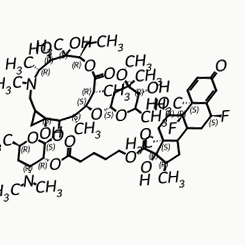 CC[C@H]1OC(=O)[C@H](C)[C@@H](O[C@@H]2C[C@](C)(OC)[C@H](O)C(C)O2)[C@H](C)C(O[C@@H]2O[C@H](C)C[C@@H](N(C)C)[C@H]2OC(=O)CCCCOC(=O)[C@@]2(O)[C@H](C)CC3C4C[C@H](F)C5=CC(=O)C=C[C@]5(C)[C@@]4(F)[C@@H](O)C[C@@]32C)[C@]2(O)CC2CN(C)[C@H](C)[C@@H](O)[C@]1(C)O